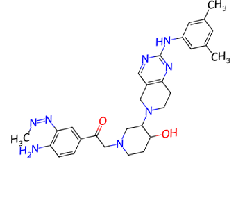 C/N=N\c1cc(C(=O)CN2CCC(O)C(N3CCc4nc(Nc5cc(C)cc(C)c5)ncc4C3)C2)ccc1N